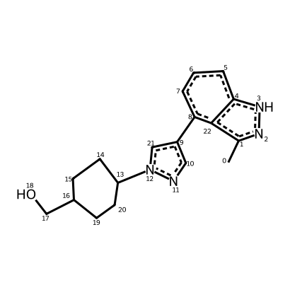 Cc1n[nH]c2cccc(-c3cnn(C4CCC(CO)CC4)c3)c12